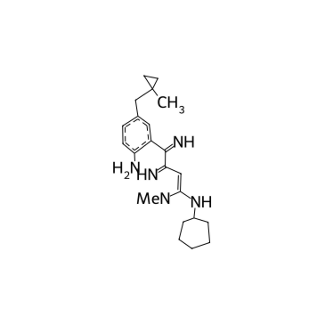 CN/C(=C\C(=N)C(=N)c1cc(CC2(C)CC2)ccc1N)NC1CCCCC1